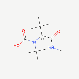 CNC(=O)[C@H](N(C(=O)O)C(C)(C)C)C(C)(C)C